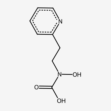 O=C(O)N(O)CCc1ccccn1